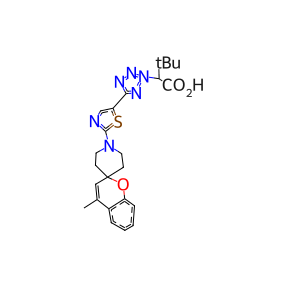 CC1=CC2(CCN(c3ncc(-c4nnn(C(C(=O)O)C(C)(C)C)n4)s3)CC2)Oc2ccccc21